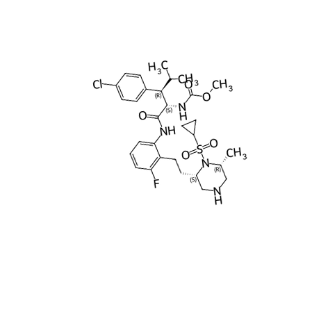 COC(=O)N[C@H](C(=O)Nc1cccc(F)c1CC[C@H]1CNC[C@@H](C)N1S(=O)(=O)C1CC1)[C@@H](c1ccc(Cl)cc1)C(C)C